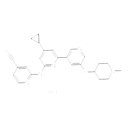 CN1CCC(Oc2cncc(-c3cc(C4CC4)cc(Nc4cc(C#N)ccn4)n3)c2)CC1.Cl